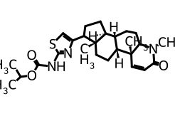 CC(C)OC(=O)Nc1nc(C2CC[C@H]3[C@@H]4CCC5N(C)C(=O)C=C[C@]5(C)[C@@H]4CC[C@]23C)cs1